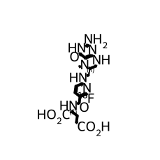 CN1c2c(nc(N)[nH]c2=O)NC[C@H]1CNc1ccc(C(=O)N[C@@H](CCC(=O)O)C(=O)O)c([18F])n1